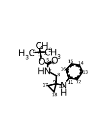 CC(C)(C)OC(=O)NCC1(Nc2ccccc2)CC1